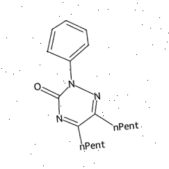 CCCCCc1nc(=O)n(-c2ccccc2)nc1CCCCC